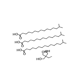 CC(C)CCCCCCCCCCCCC(=O)O.CC(C)CCCCCCCCCCCCC(=O)O.CC(C)CCCCCCCCCCCCC(=O)O.CCC(CO)(CO)CO